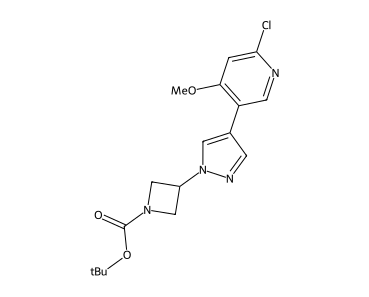 COc1cc(Cl)ncc1-c1cnn(C2CN(C(=O)OC(C)(C)C)C2)c1